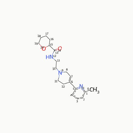 Cc1cccc(C2=CCN(CCNC(=O)C3CCCCO3)CC2)n1